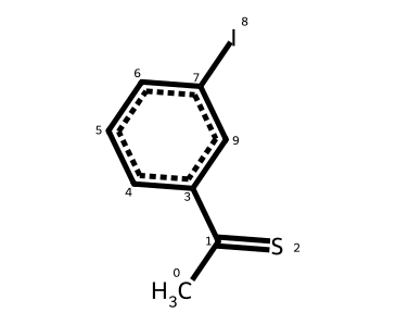 CC(=S)c1cccc(I)c1